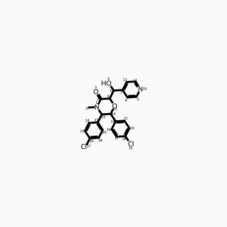 CN1C(=O)C(C(O)c2ccncc2)OC(c2ccc(Cl)cc2)C1c1ccc(Cl)cc1